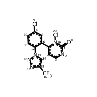 O=c1nccc(-c2cc(Cl)ccc2-n2cc(C(F)(F)F)nn2)n1Cl